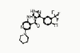 Nc1cnc(N2CCCCC2)cc1C(=O)c1c[nH]nc1-c1ccc(Cl)c(C(F)(F)F)c1